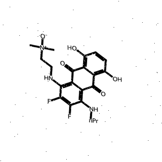 CCCNc1c(F)c(F)c(NCC[N+](C)(C)[O-])c2c1C(=O)c1c(O)ccc(O)c1C2=O